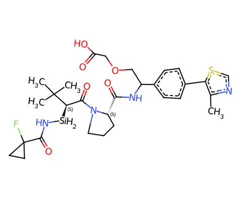 Cc1ncsc1-c1ccc(C(COCC(=O)O)NC(=O)[C@@H]2CCCN2C(=O)[C@@H]([SiH2]NC(=O)C2(F)CC2)C(C)(C)C)cc1